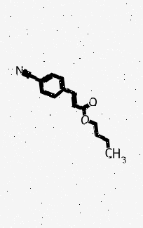 CCCCOC(=O)/C=C/c1ccc(C#N)cc1